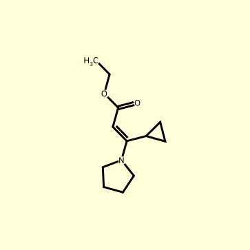 CCOC(=O)C=C(C1CC1)N1CCCC1